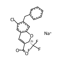 O=C([O-])C1=Cc2cc(Cl)c(Cc3ccccc3)cc2O[C@@H]1C(F)(F)F.[Na+]